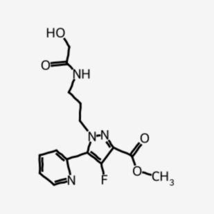 COC(=O)c1nn(CCCNC(=O)CO)c(-c2ccccn2)c1F